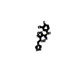 O/N=C(/Nc1ccc(F)c(Cl)c1)c1nonc1CCn1cnnc1